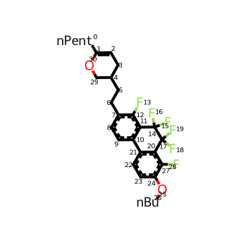 CCCCCC1=CCC(CCc2ccc3c(c2F)C(F)(F)C(F)(F)c2c-3ccc(OCCCC)c2F)CO1